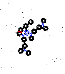 c1ccc(-c2ccc(-c3ccccc3)c(-c3nc(N(c4ccccc4)c4ccc(-c5ccc6c(c5)c5ccccc5n6-c5ccccc5)cc4)nc(N(c4ccccc4)c4ccc(-c5ccc6c(c5)c5ccccc5n6-c5ccccc5)cc4)n3)c2)cc1